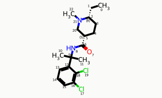 CC[C@@H]1CC[C@H](C(=O)NC(C)(C)c2cccc(Cl)c2Cl)CN1C